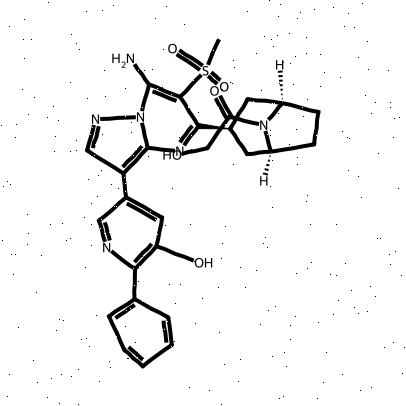 CS(=O)(=O)c1c([C@H]2C[C@H]3CC[C@@H](C2)N3C(=O)CO)nc2c(-c3cnc(-c4ccccc4)c(O)c3)cnn2c1N